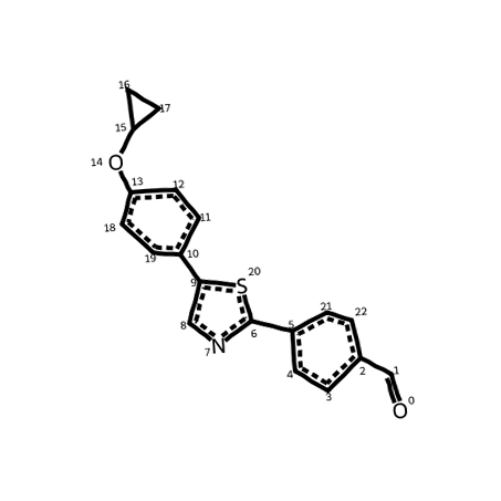 O=Cc1ccc(-c2ncc(-c3ccc(OC4CC4)cc3)s2)cc1